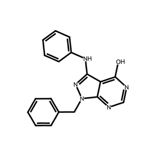 Oc1ncnc2c1c(Nc1ccccc1)nn2Cc1ccccc1